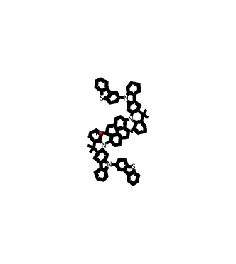 CC(C)c1cc2ccc(N3c4ccccc4C(C)(C)c4cc5c6ccccc6n(-c6ccc7sc8ccccc8c7c6)c5cc43)c3c(C(C)C)cc4ccc(N5c6ccccc6C(C)(C)c6cc7c8ccccc8n(-c8ccc9sc%10ccccc%10c9c8)c7cc65)c1c4c23